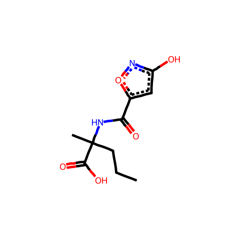 CCCC(C)(NC(=O)c1cc(O)no1)C(=O)O